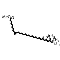 COC(=O)CCCCCCCC1CC1CCCCCCCCCCCCCCCCCCC(CN(C)C)CN(C)C